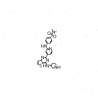 CN(C)S(=O)(=O)c1ccc(Nc2cc(-c3nc(N[C@@H]4CCNC4)c4sccc4n3)ccn2)cc1